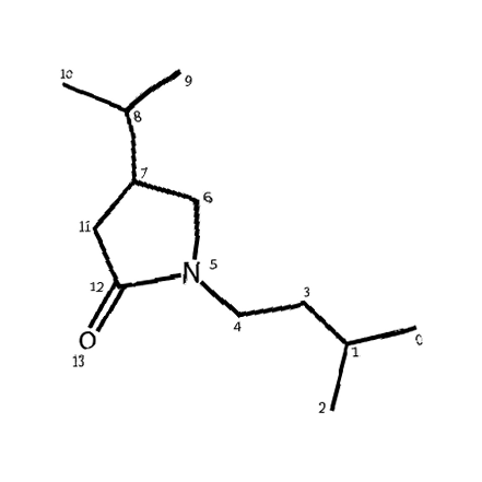 CC(C)CCN1CC(C(C)C)CC1=O